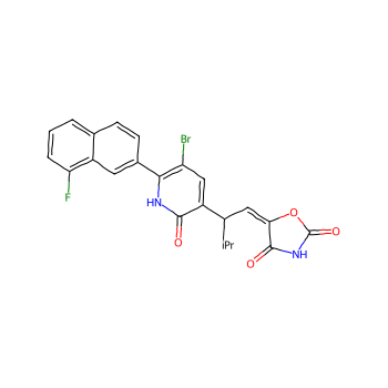 CC(C)C(C=C1OC(=O)NC1=O)c1cc(Br)c(-c2ccc3cccc(F)c3c2)[nH]c1=O